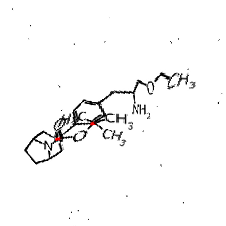 CCOCC(N)Cc1ccc(N2CC3CCC(C2)N3C(=O)OC(C)(C)C)cc1